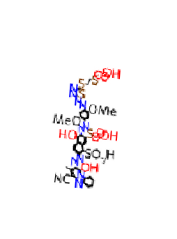 COc1cc(N=Nc2c(SOOO)cc3c(S(=O)(=O)O)c(N=Nc4c(C)c(C#N)c5nc6ccccc6n5c4O)ccc3c2O)c(OC)cc1N=Nc1nnc(SCCSOOO)s1